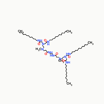 CCCCCCCCCCCCNC(=O)CN(CCN(C)CCC(=O)NCCNC(=O)CCN(C)CCN(CC(=O)NCCCCCCCCCCCC)CC(=O)NCCCCCCCCCCCC)CC(=O)NCCCCCCCCCCCC